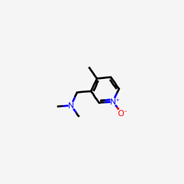 Cc1cc[n+]([O-])cc1CN(C)C